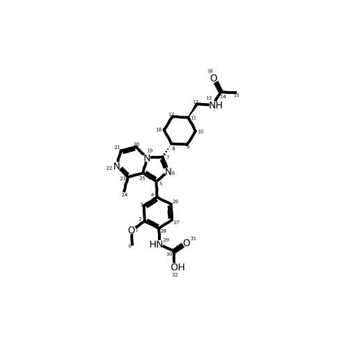 COc1cc(-c2nc([C@H]3CC[C@H](CNC(C)=O)CC3)n3ccnc(C)c23)ccc1NC(=O)O